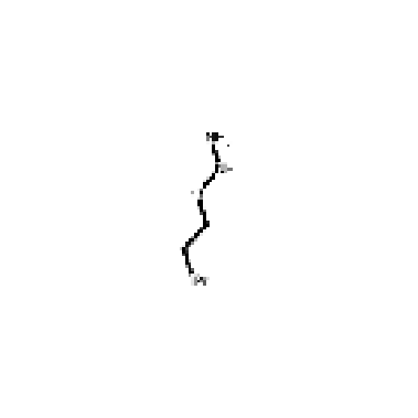 CC(C)CCONN